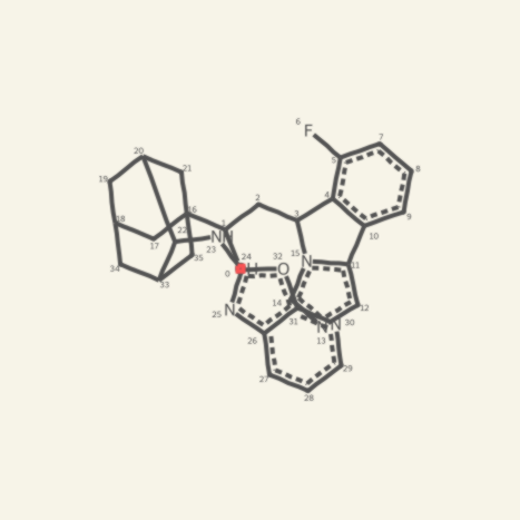 OC(CC1c2c(F)cccc2-c2cncn21)C12CC3CC(C1)C(Nc1nc4cccnc4o1)C(C3)C2